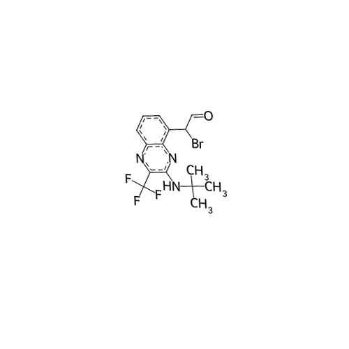 CC(C)(C)Nc1nc2c(C(Br)C=O)cccc2nc1C(F)(F)F